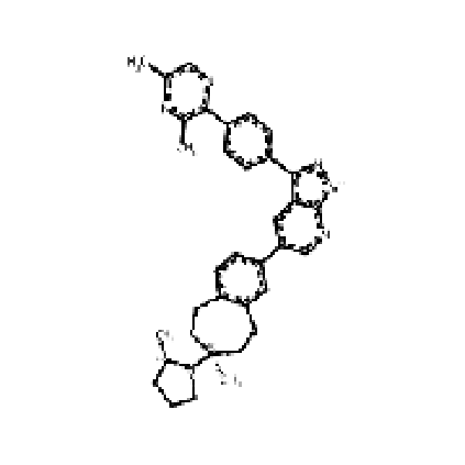 Cc1cnc(-c2ccc(-c3n[nH]c4ncc(-c5ccc6c(c5)CC[C@@](C)(N5CCC[C@H]5C)CC6)cc34)cc2)c(C)n1